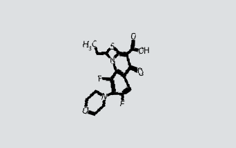 CCC1Sc2c(C(=O)O)c(=O)c3cc(F)c(N4CCOCC4)c(F)c3n21